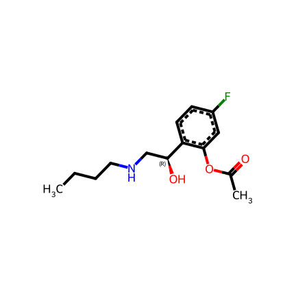 CCCCNC[C@H](O)c1ccc(F)cc1OC(C)=O